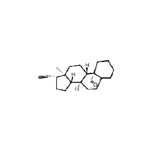 C=C[C@H]1CC[C@H]2[C@@H]3CCC4CCCC[C@]4(C=O)[C@H]3CC[C@]12C